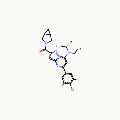 CC(C)CN(c1cc(-c2cc(F)c(Cl)c(F)c2)nc2cc(C(=O)N3CC4CC4C3)nn12)[C@H](C)C(C)C